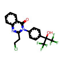 O=c1c2ccccc2nc(CCCl)n1-c1ccc(C(O)(C(F)(F)F)C(F)(F)F)cc1